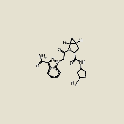 C[C@@H]1CCC(NC(=O)[C@@H]2C[C@H]3C[C@H]3N2C(=O)Cn2nc(C(N)=O)c3ccccc32)C1